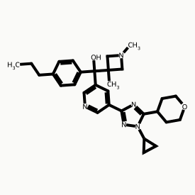 CCCc1ccc(C(O)(c2cncc(-c3nc(C4CCOCC4)n(C4CC4)n3)c2)C2(C)CN(C)C2)cc1